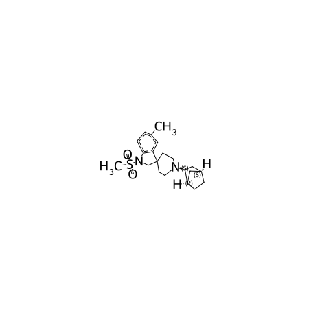 Cc1ccc2c(c1)C1(CCN([C@H]3C[C@H]4CC[C@@H]3C4)CC1)CN2S(C)(=O)=O